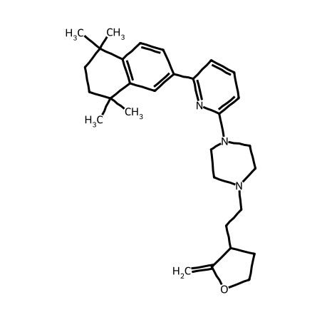 C=C1OCCC1CCN1CCN(c2cccc(-c3ccc4c(c3)C(C)(C)CCC4(C)C)n2)CC1